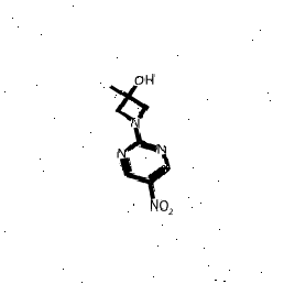 CC1(O)CN(c2ncc([N+](=O)[O-])cn2)C1